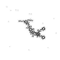 COc1cc(OC)c2oc(COC(=O)Nc3ccn(C4O[C@H](COP(=O)(N[C@@H](C)C(=O)OCc5ccccc5)N[C@@H](C)C(=O)OCc5ccccc5)[C@@H](O)C4(F)F)c(=O)n3)cc2c1